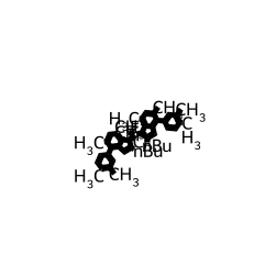 CCCCC1=Cc2c(-c3ccc(C)c(C)c3)c(C)cc(C)c2[CH]1[Zr]([Cl])([Cl])([CH2]C)[CH]1C(CCCC)=Cc2c(-c3ccc(C)c(C)c3)c(C)cc(C)c21